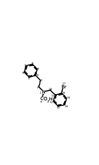 O=C(O)N(CCc1ccccc1)Cc1ccccc1Br